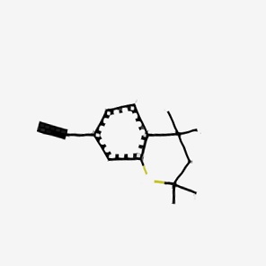 C#Cc1ccc2c(c1)SC(C)(C)CC2(C)C